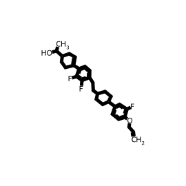 C=CCOc1ccc(C2CCC(CCc3ccc(C4=CCC(C(C)O)CC4)c(F)c3F)CC2)cc1F